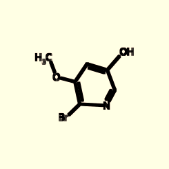 COc1cc(O)cnc1Br